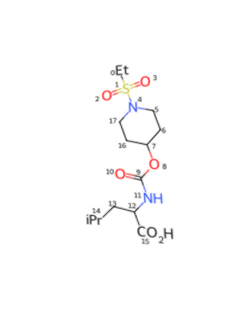 CCS(=O)(=O)N1CCC(OC(=O)NC(CC(C)C)C(=O)O)CC1